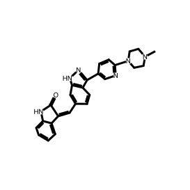 CN1CCN(c2ccc(-c3n[nH]c4cc(C=C5C(=O)Nc6ccccc65)ccc34)cn2)CC1